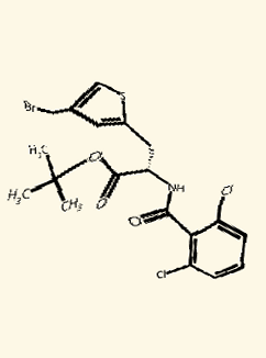 CC(C)(C)OC(=O)[C@H](Cc1cc(Br)cs1)NC(=O)c1c(Cl)cccc1Cl